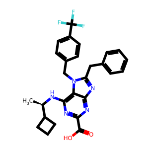 C[C@@H](Nc1nc(C(=O)O)nc2nc(Cc3ccccc3)n(Cc3ccc(C(F)(F)F)cc3)c12)C1CCC1